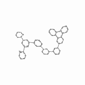 c1ccc(-c2cc(-c3cccc(-c4cccc(-c5cccc(-c6ccc7c8ccccc8c8ccccc8c7c6)c5)c4)c3)cc(-c3ccccn3)c2)nc1